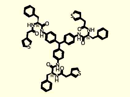 O=C(Cc1ccsc1)N[C@@H](Cc1ccccc1)C(=O)Nc1ccc(C(c2ccc(NC(=O)[C@H](Cc3ccccc3)NC(=O)Cc3ccsc3)cc2)c2ccc(NC(=O)[C@H](Cc3ccccc3)NC(=O)Cc3ccsc3)cc2)cc1